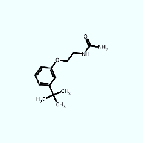 CC(C)(C)c1cccc(OCCNC(N)=O)c1